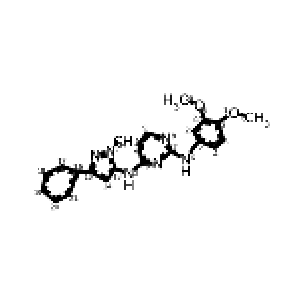 COc1ccc(Nc2nccc(Nc3cc(-c4ccccc4)nn3C)n2)cc1OC